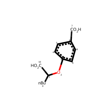 CCCCC(Oc1ccc(C(=O)O)cc1)C(=O)O